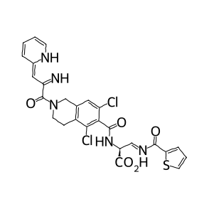 N=C(/C=C1/C=CC=CN1)C(=O)N1CCc2c(cc(Cl)c(C(=O)N[C@@H](/C=N/C(=O)c3cccs3)C(=O)O)c2Cl)C1